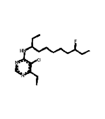 CCc1ncnc(NC(CC)CCCCCC(F)CC)c1Cl